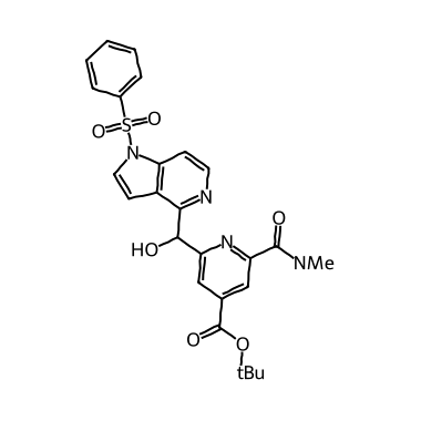 CNC(=O)c1cc(C(=O)OC(C)(C)C)cc(C(O)c2nccc3c2ccn3S(=O)(=O)c2ccccc2)n1